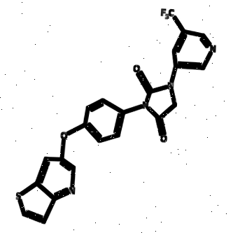 O=C1CN(c2cncc(C(F)(F)F)c2)C(=O)N1c1ccc(Oc2cnc3ccsc3c2)cc1